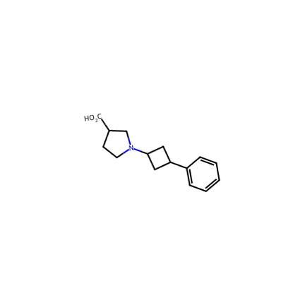 O=C(O)C1CCN(C2CC(c3ccccc3)C2)C1